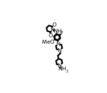 COc1cc(NN2C(=O)CCCC2=O)c(F)cc1N1CCN(CCC2CCN(N)CC2)CC1